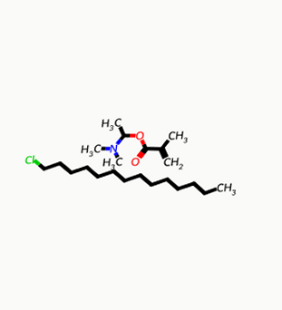 C=C(C)C(=O)OC(C)N(C)C.CCCCCCCCCCCCCCCl